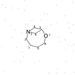 C1CCN2CC(C2)OC1